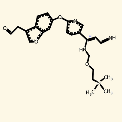 C[Si](C)(C)CCOCN/C(=C\C=N)c1ccc(Oc2ccc3c(CC=O)coc3c2)nc1